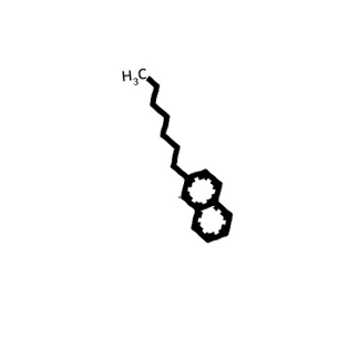 CCCCCCCc1[c]c2ccccc2cc1